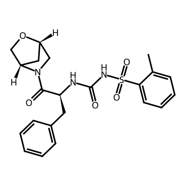 Cc1ccccc1S(=O)(=O)NC(=O)N[C@@H](Cc1ccccc1)C(=O)N1C[C@@H]2C[C@H]1CO2